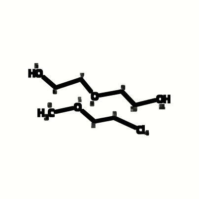 COCCCl.OCCOCCO